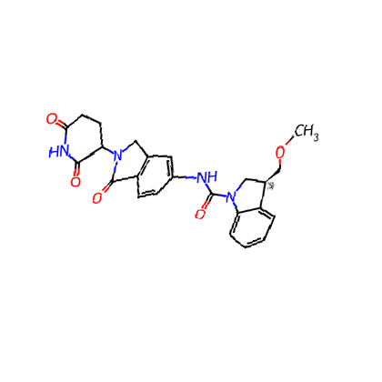 COC[C@@H]1CN(C(=O)Nc2ccc3c(c2)CN(C2CCC(=O)NC2=O)C3=O)c2ccccc21